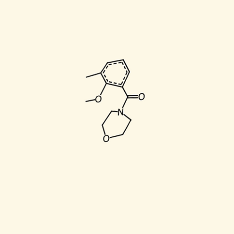 COc1c(C)cccc1C(=O)N1CCOCC1